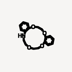 c1ccc2c(c1)NCCOCCOc1ccccc1OCCO2